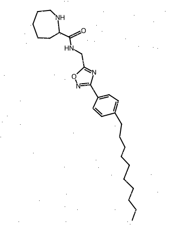 CCCCCCCCCCc1ccc(-c2noc(CNC(=O)C3CCCCCN3)n2)cc1